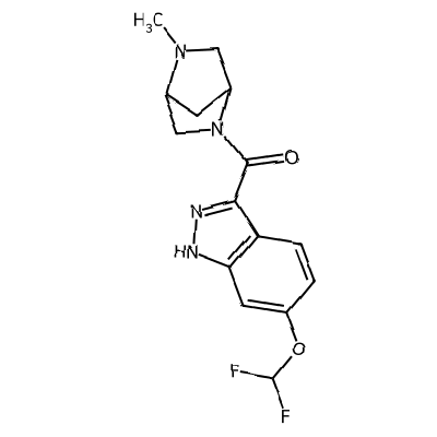 CN1CC2CC1CN2C(=O)c1n[nH]c2cc(OC(F)F)ccc12